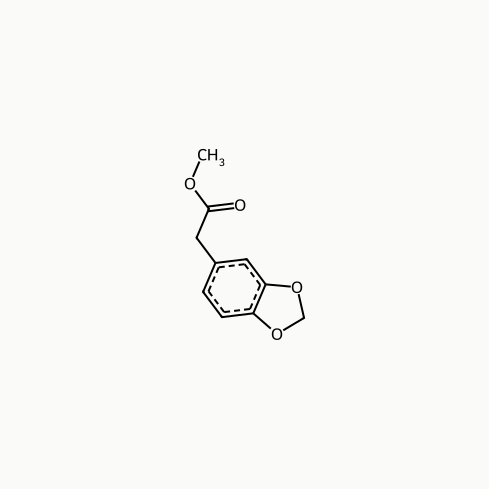 COC(=O)Cc1ccc2c(c1)OCO2